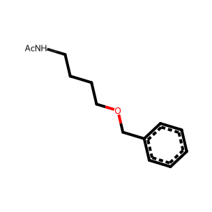 CC(=O)NCCCCOCc1ccccc1